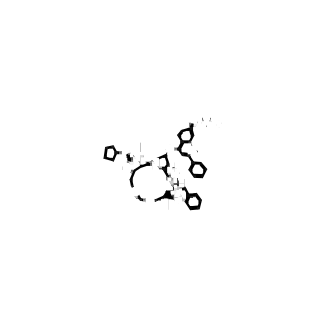 COc1ccc2c(O[C@@H]3C[C@H]4C(=O)N[C@]5(P(=O)(O)Cc6ccccc6)C[C@H]5CCCCCCC[C@H](NC(=O)OC5CCCC5)C(=O)N4C3)cc(-c3ccccc3)nc2c1